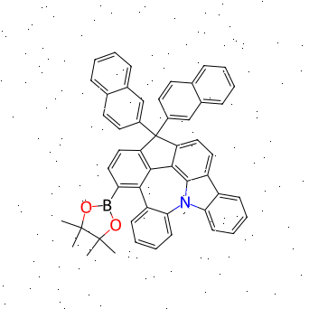 CC1(C)OB(c2ccc3c4c2-c2ccccc2-n2c5ccccc5c5ccc(c-4c52)C3(c2ccc3ccccc3c2)c2ccc3ccccc3c2)OC1(C)C